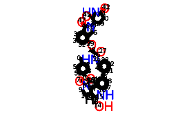 Cc1ccc(S(=O)(=O)N2CC[C@@H]3[C@H](CO)Nc4ccc(-c5cccc(NC(=O)COc6cccc7c6CN(C6CCC(=O)NC6=O)C7=O)c5)cc4[C@@H]32)cc1